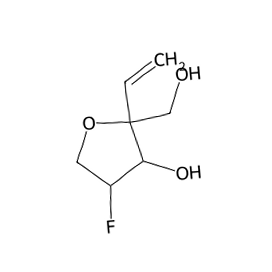 C=CC1(CO)OCC(F)C1O